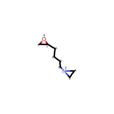 C(CCN1CC1)CC1CO1